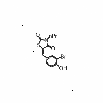 CCCN1C(=O)SC(=Cc2ccc(O)c(Br)c2)C1=O